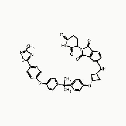 Cc1noc(-c2ccc(Oc3ccc(C(C)(C)c4ccc(O[C@H]5C[C@H](Nc6ccc7c(c6)C(=O)N(C6CCC(=O)NC6=O)C7=O)C5)cc4)cc3)cn2)n1